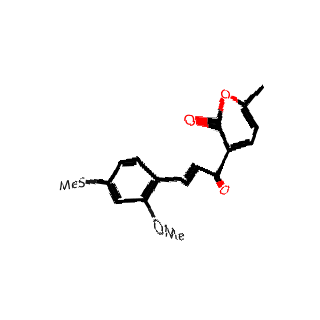 COc1cc(SC)ccc1/C=C/C(=O)c1ccc(C)oc1=O